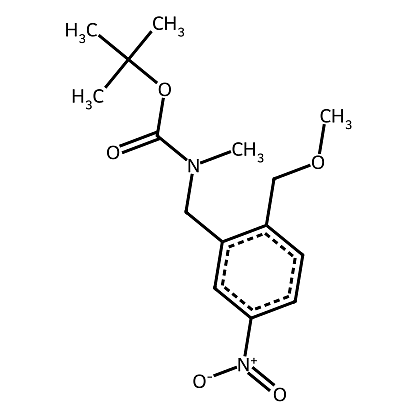 COCc1ccc([N+](=O)[O-])cc1CN(C)C(=O)OC(C)(C)C